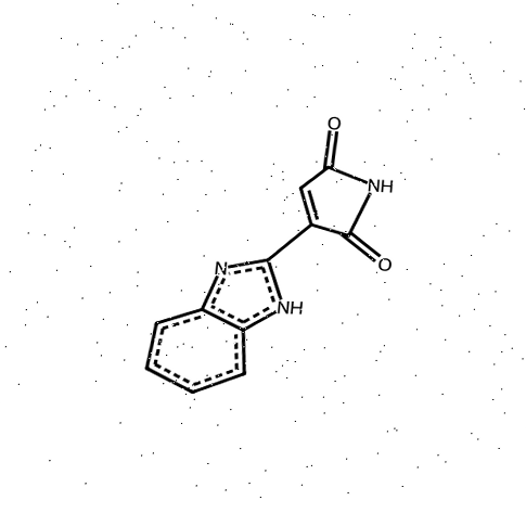 O=C1C=C(c2nc3ccccc3[nH]2)C(=O)N1